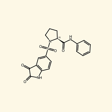 O=C1Nc2ccc(S(=O)(=O)N3CCC[C@H]3C(=O)Nc3ccccc3)cc2C1=O